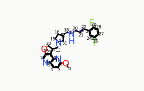 COc1ccc2ncc3c(c2n1)C(CN1CC[C@@H](CNC/C=C/c2cc(F)ccc2F)C1)CO3